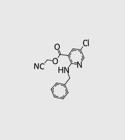 N#CCOC(=O)c1cc(Cl)cnc1NCc1ccccc1